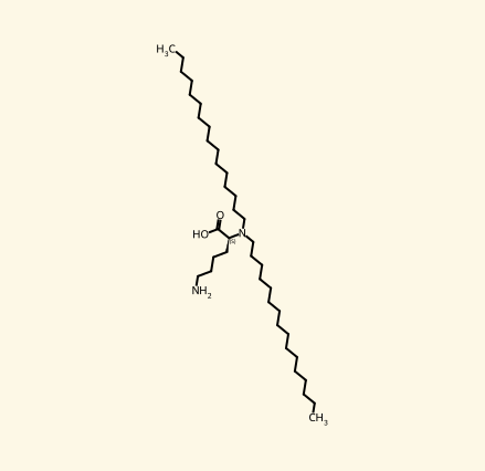 CCCCCCCCCCCCCCCCN(CCCCCCCCCCCCCCCC)[C@@H](CCCCN)C(=O)O